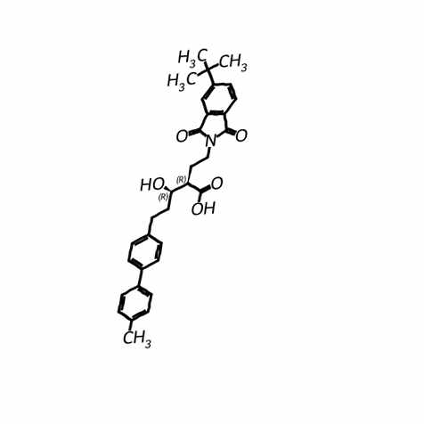 Cc1ccc(-c2ccc(CC[C@@H](O)[C@@H](CCN3C(=O)c4ccc(C(C)(C)C)cc4C3=O)C(=O)O)cc2)cc1